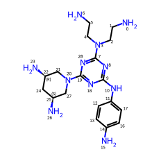 NCCN(CCN)c1nc(Nc2ccc(N)cc2)nc(N2C[C@H](N)C[C@H](N)C2)n1